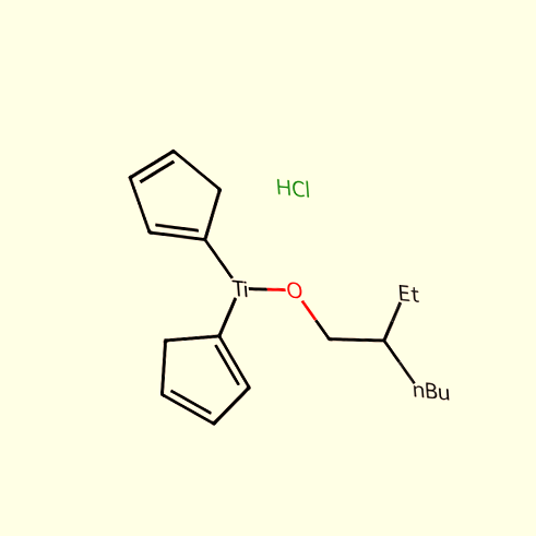 CCCCC(CC)C[O][Ti]([C]1=CC=CC1)[C]1=CC=CC1.Cl